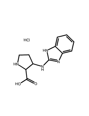 Cl.O=C(O)C1NCCC1Nc1nc2ccccc2[nH]1